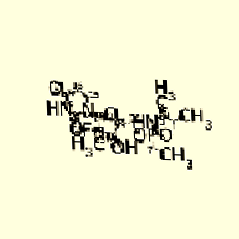 CC[C@H](C)NP(=O)(CC)OC[C@H]1O[C@@H](n2ccc(=O)[nH]c2=O)[C@](C)(F)[C@@H]1O